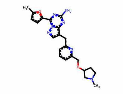 Cc1ccc(-c2nc(N)nc3c(Cc4cccc(COC5CCN(C)C5)n4)cnn23)o1